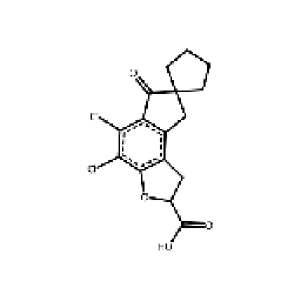 O=C(O)C1Cc2c3c(c(Cl)c(Cl)c2O1)C(=O)C1(CCCC1)C3